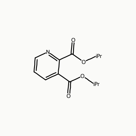 CC(C)OC(=O)c1cccnc1C(=O)OC(C)C